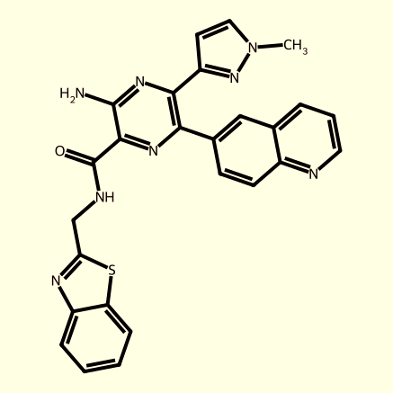 Cn1ccc(-c2nc(N)c(C(=O)NCc3nc4ccccc4s3)nc2-c2ccc3ncccc3c2)n1